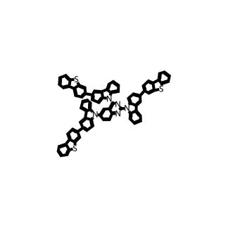 c1ccc2c(c1)sc1cc(-c3ccc4c(c3)c3ccccc3n4-c3ccc4nc(-n5c6ccccc6c6cc(-c7ccc8c(c7)sc7ccccc78)ccc65)nc(-n5c6ccccc6c6cc(-c7ccc8c(c7)sc7ccccc78)ccc65)c4c3)ccc12